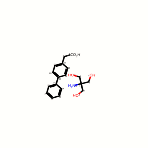 NC(CO)(CO)CO.O=C(O)Cc1ccc(-c2ccccc2)cc1